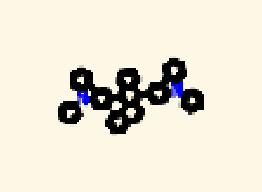 c1ccc(-n2c3ccccc3c3cc(-c4c5ccccc5c(-c5ccc6c(c5)c5ccccc5n6-c5ccccc5)c5c4ccc4ccccc45)ccc32)cc1